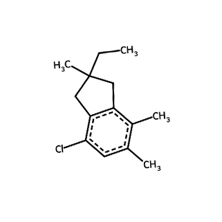 CCC1(C)Cc2c(Cl)cc(C)c(C)c2C1